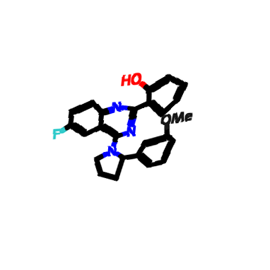 COc1cccc(C2CCCN2c2nc(-c3ccccc3O)nc3ccc(F)cc23)c1